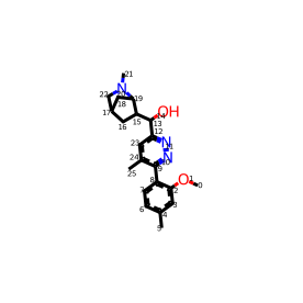 COc1cc(C)ccc1-c1nnc(C(O)C2CC3CC2N(C)C3)cc1C